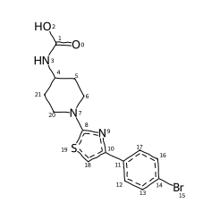 O=C(O)NC1CCN(c2nc(-c3ccc(Br)cc3)cs2)CC1